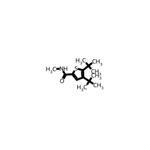 CNC(=O)c1cc(C(C)(C)C)c(C(C)(C)C)s1